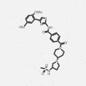 CCCCc1ccc(OC)c(-c2csc(NC(=O)c3ccc(C(=O)N4CCC(N5CCC(NS(C)(=O)=O)C5)CC4)cc3)n2)c1